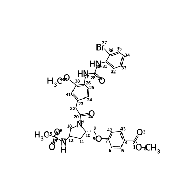 COC(=O)c1ccc(OC[C@@H]2CC(NS(C)(=O)=O)CN2C(=O)Cc2ccc(NC(=O)Nc3ccccc3Br)c(OC)c2)cc1